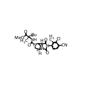 CC[C@H](C)[C@](C)(NC(=O)N1C[C@H]2CC1[C@H]1C(=O)N(c3ccc(C#N)c(Cl)c3C)C(=O)N21)C(=O)OC